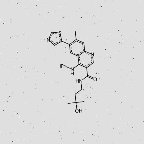 Cc1cc2ncc(C(=O)NCCC(C)(C)O)c(NC(C)C)c2cc1-c1cncs1